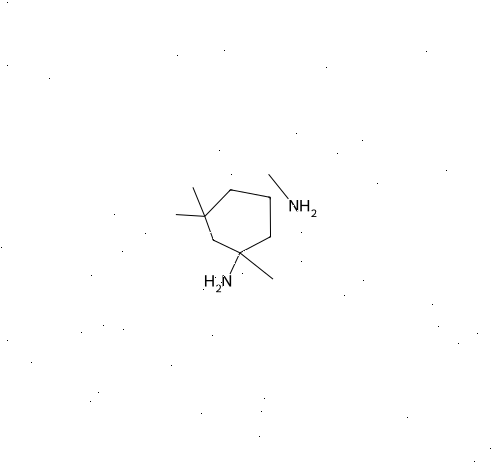 CC1(C)CCCC(C)(N)C1.CN